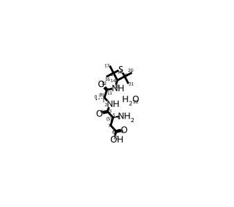 C[C@@H](NC(=O)[C@@H](N)CC(=O)O)C(=O)NC1C(C)(C)SC1(C)C.O